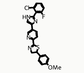 COc1ccc(C2CN=C(c3ccc(-c4c[nH]c(-c5c(F)cccc5Cl)n4)cn3)S2)cc1